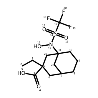 CCC1(C(=O)O)CC2CCCC(N(O)S(=O)(=O)C(F)(F)F)(C2)C1